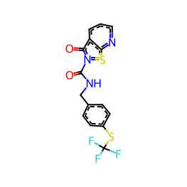 O=C(NCc1ccc(SC(F)(F)F)cc1)n1sc2ncccc2c1=O